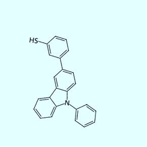 Sc1cccc(-c2ccc3c(c2)c2ccccc2n3-c2ccccc2)c1